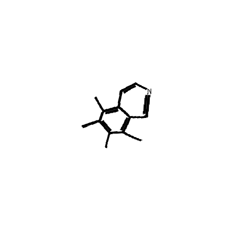 Cc1c(C)c(C)c2cn[c]cc2c1C